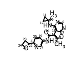 Cc1oc2ncnc(NC3(C)CC3)c2c1C(=O)Nc1ccc(C2CCO2)nc1